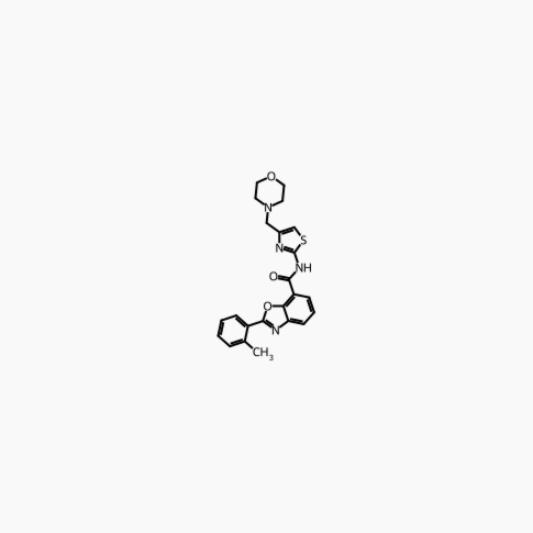 Cc1ccccc1-c1nc2cccc(C(=O)Nc3nc(CN4CCOCC4)cs3)c2o1